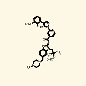 CC(=O)Nc1cccc(-c2cnn(-c3cc(C(=O)/N=c4\[nH]c5ccc(CN6CCN(C)CC6)cc5n4CC(C)(C)OC=O)ccn3)c2)c1C=O